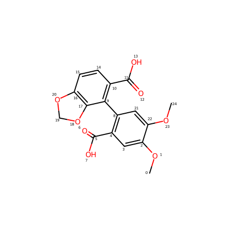 COc1cc(C(=O)O)c(-c2c(C(=O)O)ccc3c2OCO3)cc1OC